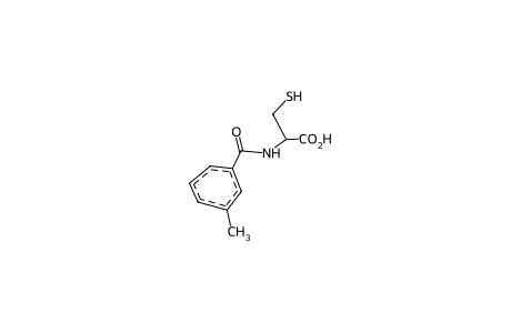 Cc1cccc(C(=O)NC(CS)C(=O)O)c1